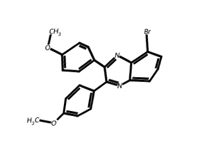 COc1ccc(-c2nc3cccc(Br)c3nc2-c2ccc(OC)cc2)cc1